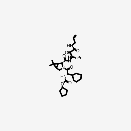 C=CCNC(=O)C(=O)C(CCC)NC(=O)[C@@H]1C2C(CN1C(=O)[C@@H](NC(=O)OC1CCCC1)C1CCCCC1)C2(C)C